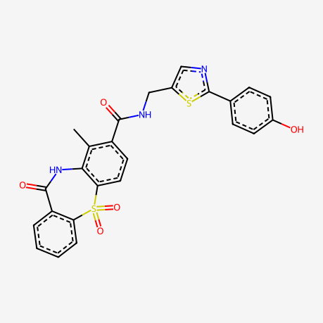 Cc1c(C(=O)NCc2cnc(-c3ccc(O)cc3)s2)ccc2c1NC(=O)c1ccccc1S2(=O)=O